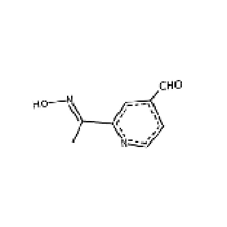 C/C(=N\O)c1cc(C=O)ccn1